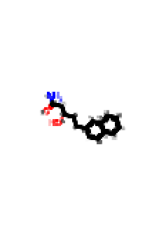 NC(=O)C[C@@H](O)CCc1ccc2ccccc2c1